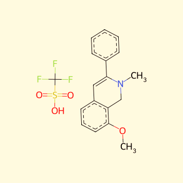 COc1cccc2c1CN(C)C(c1ccccc1)=C2.O=S(=O)(O)C(F)(F)F